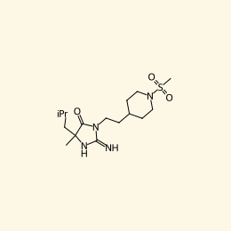 CC(C)CC1(C)NC(=N)N(CCC2CCN(S(C)(=O)=O)CC2)C1=O